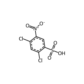 O=[N+]([O-])c1cc(S(=O)(=O)O)c(Cl)cc1Cl